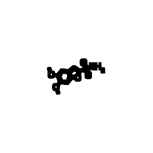 COc1cc2cc(S(N)(=O)=O)oc2cc1OC